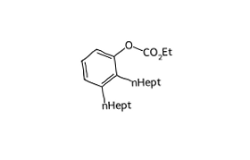 CCCCCCCc1cccc(OC(=O)OCC)c1CCCCCCC